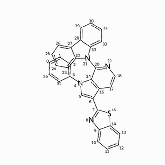 c1ccc(-n2cc(-c3nc4ccccc4s3)c3ccnc(-n4c5ccccc5c5ccccc54)c32)cc1